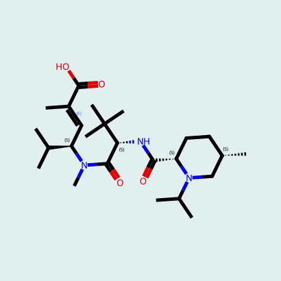 C/C(=C\[C@H](C(C)C)N(C)C(=O)[C@@H](NC(=O)[C@@H]1CC[C@H](C)CN1C(C)C)C(C)(C)C)C(=O)O